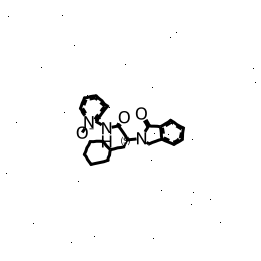 O=C(Nc1cccc[n+]1[O-])[C@H](CC1CCCCC1)N1Cc2ccccc2C1=O